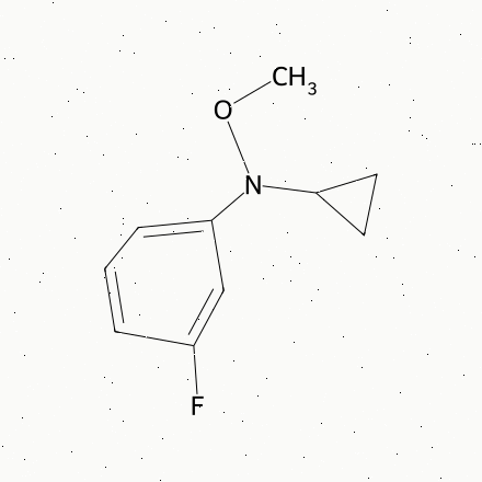 CON(c1cccc(F)c1)C1CC1